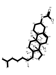 CC(C)CCC[C@@H](C)[C@H]1CC[C@H]2[C@@H]3CC=C4CC(OC(=O)Cl)CC[C@]4(C)[C@H]3CC[C@]12C